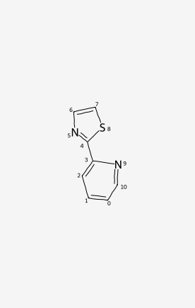 c1ccc(-c2nccs2)nc1